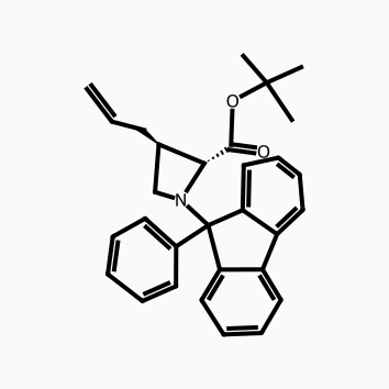 C=CC[C@@H]1CN(C2(c3ccccc3)c3ccccc3-c3ccccc32)[C@H]1C(=O)OC(C)(C)C